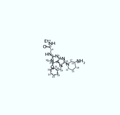 CCNC(=O)CNc1nc2nc(N3CCCC(N)C3)n(Cc3ccccc3)c2c(=O)n1C